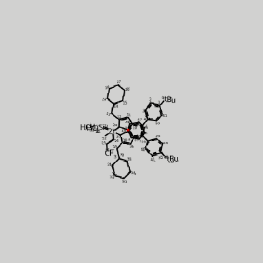 CC(C)(C)c1ccc(-c2cccc3c2C=C(CC2CCCCC2)[CH]3[Zr]([CH3])(=[SiH2])([CH2]CC(F)(F)F)[CH]2C(CC3CCCCC3)=Cc3c(-c4ccc(C(C)(C)C)cc4)cccc32)cc1.Cl.Cl